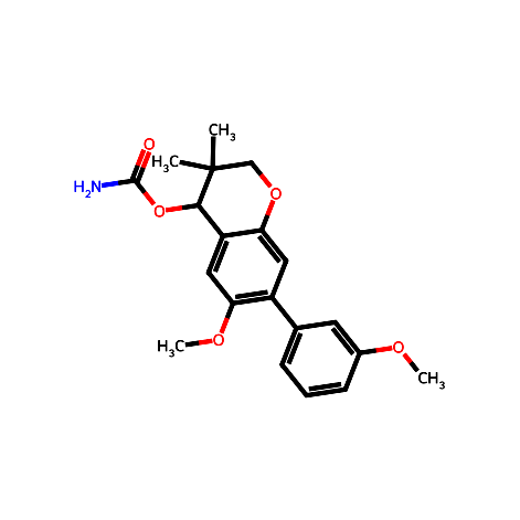 COc1cccc(-c2cc3c(cc2OC)C(OC(N)=O)C(C)(C)CO3)c1